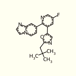 CC(C)(C)Cc1ncc(-c2cc(F)cnc2-c2ccn3ccnc3c2)o1